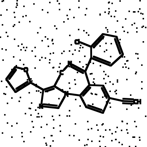 C#Cc1ccc2c(c1)C(c1ccccc1Cl)=NCc1c(-c3ccco3)ncn1-2